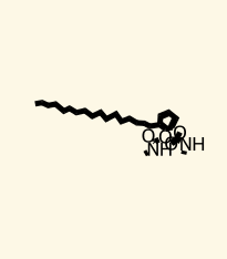 CCCCCCCCCCCCCCCCCc1cccc(OC(=O)NC)c1OC(=O)NC